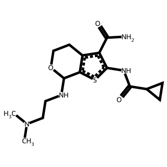 CN(C)CCNC1OCCc2c1sc(NC(=O)C1CC1)c2C(N)=O